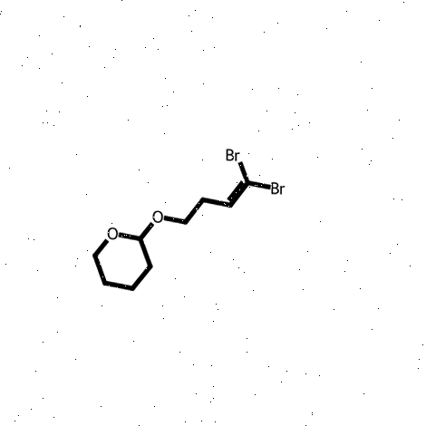 BrC(Br)=CCCOC1CCCCO1